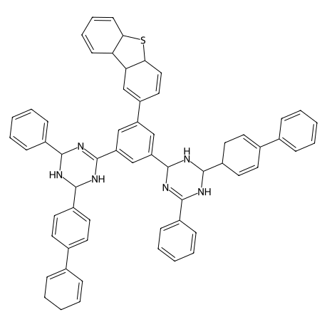 C1=CC2SC3C=CC(c4cc(C5=NC(c6ccccc6)NC(c6ccc(C7=CCCC=C7)cc6)N5)cc(C5N=C(c6ccccc6)NC(C6C=CC(c7ccccc7)=CC6)N5)c4)=CC3C2C=C1